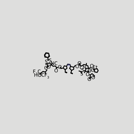 [C-]#[N+]C(C)(CCC(=O)OCC1CC(C=C)CC1/C=C\C1CC(C=C)C(COC(=O)CCC(C)(CC(C)(SC(=S)c2ccccc2)C(=O)OCC(C)CC(O)(C(F)(F)F)C(F)(F)F)[N+]#[C-])C1)CC(C)(CC(C)(SC(C)=S)C(=O)OC1CCOC1=O)C(=O)OC1(CC)CCCC1